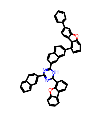 c1ccc(-c2ccc3c(c2)oc2cccc(-c4ccc5ccc(C6=NC(c7ccc8ccccc8c7)=NC(c7cccc8c7oc7ccccc78)N6)cc5c4)c23)cc1